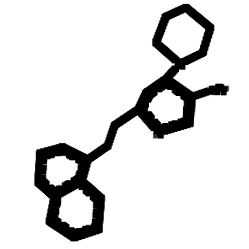 CCCc1cnc(CCc2cccc3ccccc23)cc1N1CCCCC1